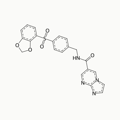 O=C(NCc1ccc(S(=O)(=O)c2cccc3c2OCO3)cc1)c1cnc2nccn2c1